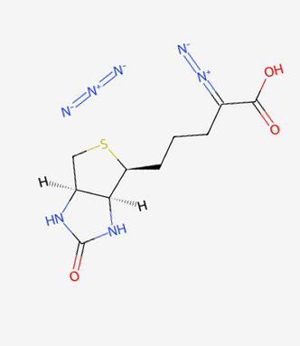 [N-]=[N+]=C(CCC[C@@H]1SC[C@@H]2NC(=O)N[C@@H]21)C(=O)O.[N-]=[N+]=[N-]